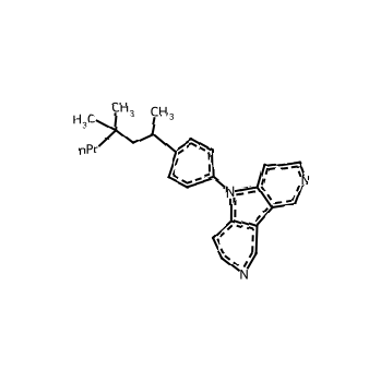 CCCC(C)(C)CC(C)c1ccc(-n2c3ccncc3c3cnccc32)cc1